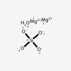 O.[Mg+2].[Mg+2].[O-][Si]([O-])([O-])[O-]